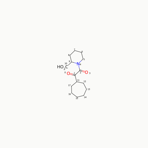 O=C(C(=O)N1CCCCC1C(=O)O)C1CCCCCC1